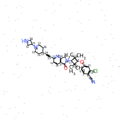 CC1(C)[C@H](Oc2ccc(C#N)c(Cl)c2)C(C)(C)[C@H]1N1Cc2nc(C#CC3CCN(C4CNC4)CC3)ccc2C1=O